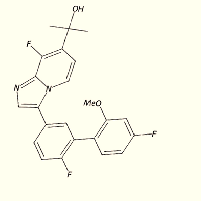 COc1cc(F)ccc1-c1cc(-c2cnc3c(F)c(C(C)(C)O)ccn23)ccc1F